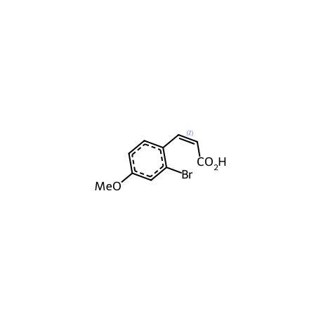 COc1ccc(/C=C\C(=O)O)c(Br)c1